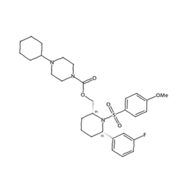 COc1ccc(S(=O)(=O)N2[C@@H](COC(=O)N3CCN(C4CCCCC4)CC3)CCC[C@H]2c2cccc(F)c2)cc1